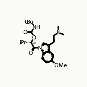 COc1ccc2c(c1)c(CCN(C)C)cn2C(=O)[C@@H](OC(=O)NC(C)(C)C)C(C)C